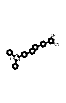 N#Cc1cc(C#N)cc(-c2ccc(-c3ccc4cc(-c5ccc(C6=NC(c7ccccc7)NC(c7ccccc7)=N6)cc5)ccc4c3)cc2)c1